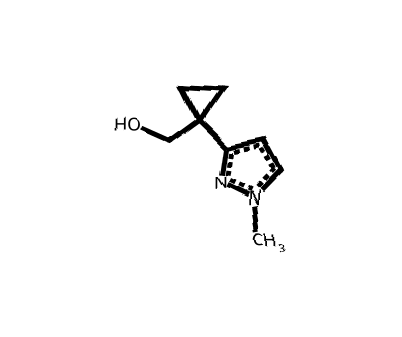 Cn1ccc(C2(CO)CC2)n1